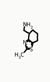 Cc1nc2c(s1)CCCC2CN